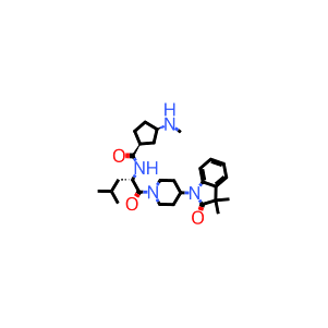 CN[C@@H]1CC[C@H](C(=O)N[C@@H](CC(C)C)C(=O)N2CCC(N3C(=O)C(C)(C)c4ccccc43)CC2)C1